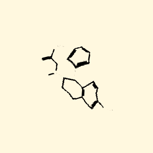 COC(=O)CN(C)[C@H]1CCc2cc(OC)ccc2[C@H]1c1ccccc1